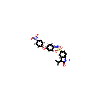 CC(C)=C1C(=O)Nc2ccc(S(=O)(=O)Nc3ccc(Oc4ccc([N+](=O)[O-])cc4)cc3)cc21